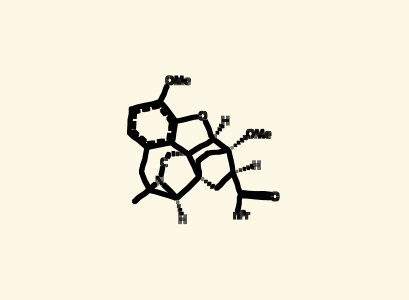 CCCC(=O)[C@H]1C[C@@]23CC[C@@]1(OC)[C@@H]1Oc4c(OC)ccc5c4[C@@]12CCN(C)[C@@H]3CC5